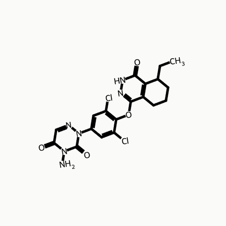 CCC1CCCc2c(Oc3c(Cl)cc(-n4ncc(=O)n(N)c4=O)cc3Cl)n[nH]c(=O)c21